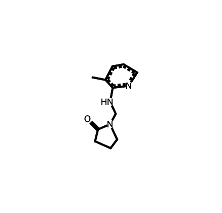 Cc1cccnc1NCN1CCCC1=O